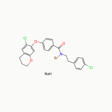 O=C(c1ccc(Oc2cc3c(cc2Cl)CCCO3)cc1)N(Br)CCc1ccc(Cl)cc1.[NaH]